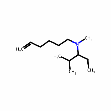 C=CCCCCN(C)C(CC)C(C)C